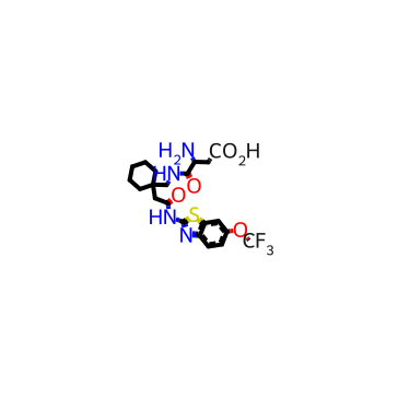 NC(CC(=O)O)C(=O)NCC1(CC(=O)Nc2nc3ccc(OC(F)(F)F)cc3s2)CCCCC1